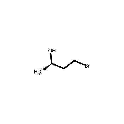 C[C@@H](O)CCBr